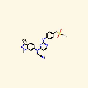 Cc1n[nH]c2cc(N(CC#N)c3ccnc(Nc4ccc(CS(C)(=O)=O)cc4)n3)ccc12